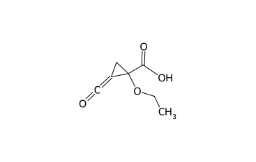 CCOC1(C(=O)O)CC1=C=O